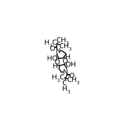 CC(C)(C)C(=O)N1CC[C@@H]2O[C@@]3(O)CN(C(=O)C(C)(C)C)CC[C@@H]3O[C@]2(O)C1